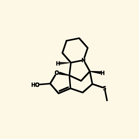 CSC1CC2=CC(O)O[C@@]23C[C@@H]1N1CCCC[C@@H]13